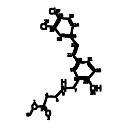 COC(=O)CCNCc1cc(/C=C/c2ccc(Cl)c(Cl)c2)ccc1O